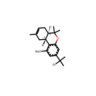 CCC(C)(C)c1cc(OC)c2c(c1)OC(C)(C)[C@@H]1CC=C(C)C[C@@H]21